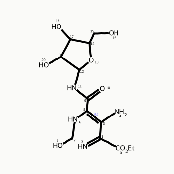 CCOC(=O)C(=N)/C(N)=C(\NCO)C(=O)NC1OC(CO)C(O)C1O